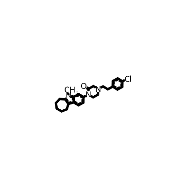 Cn1c2c(c3ccc(N4CCN(CCc5ccc(Cl)cc5)CC4=O)cc31)CCCCC2